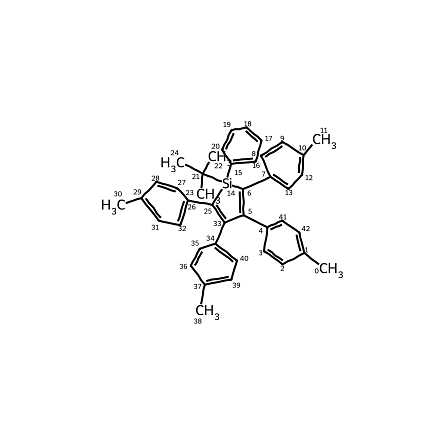 Cc1ccc(C2=C(c3ccc(C)cc3)[Si](c3ccccc3)(C(C)(C)C)C(c3ccc(C)cc3)=C2c2ccc(C)cc2)cc1